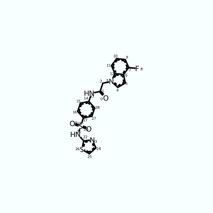 O=C(Cn1ccc2c(F)cccc21)Nc1ccc(S(=O)(=O)Nc2nccs2)cc1